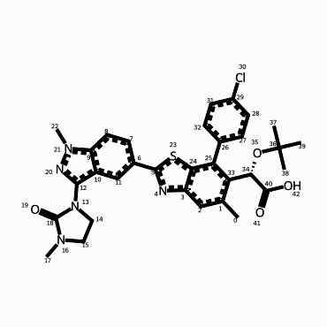 Cc1cc2nc(-c3ccc4c(c3)c(N3CCN(C)C3=O)nn4C)sc2c(-c2ccc(Cl)cc2)c1[C@H](OC(C)(C)C)C(=O)O